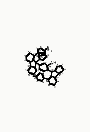 Nc1ccc(C2(c3ccc(C4c5ccccc5-c5cccc(-c6ccc(F)cc6)c54)c(N)c3)c3ccccc3-c3cccc(-c4ccc(F)cc4)c32)cc1